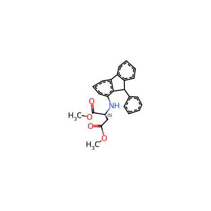 COC(=O)C[C@H](Nc1cccc2c1C(c1ccccc1)c1ccccc1-2)C(=O)OC